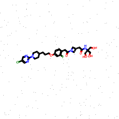 O=C(CC1CN(C(=O)Cc2ccc(OCCCC3CCN(c4ncc(Cl)cn4)CC3)cc2F)C1)NC(CO)(CO)CO